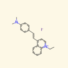 CC[n+]1ccc(C=Cc2ccc(N(C)C)cc2)c2ccccc21.[I-]